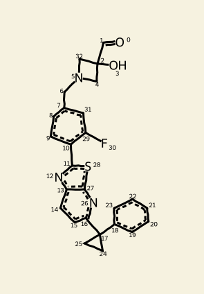 O=CC1(O)CN(Cc2ccc(-c3nc4ccc(C5(c6ccccc6)CC5)nc4s3)c(F)c2)C1